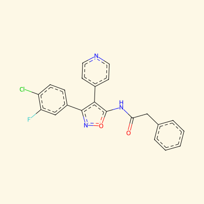 O=C(Cc1ccccc1)Nc1onc(-c2ccc(Cl)c(F)c2)c1-c1ccncc1